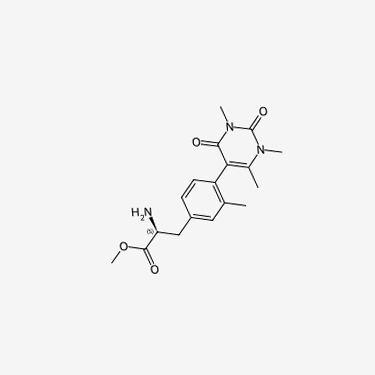 COC(=O)[C@@H](N)Cc1ccc(-c2c(C)n(C)c(=O)n(C)c2=O)c(C)c1